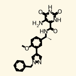 COc1ccc([C@@H](C)NC(=O)c2[nH]c(=O)[nH]c(=O)c2N)cc1-c1cnn(Cc2ccccc2)c1